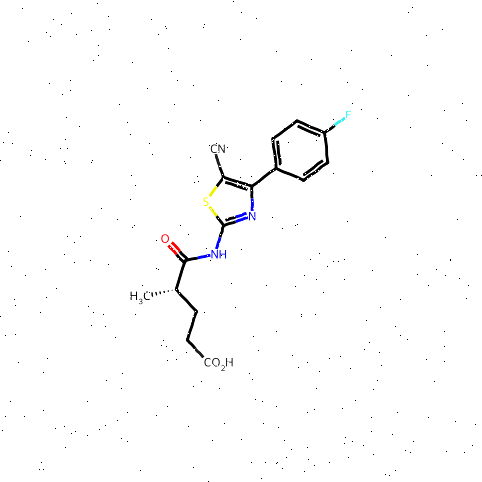 C[C@@H](CCC(=O)O)C(=O)Nc1nc(-c2ccc(F)cc2)c(C#N)s1